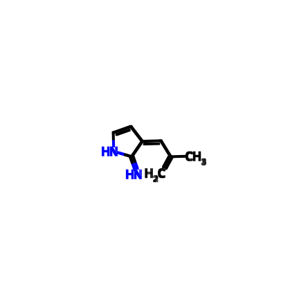 C=C(C)/C=C1/C=CNC1=N